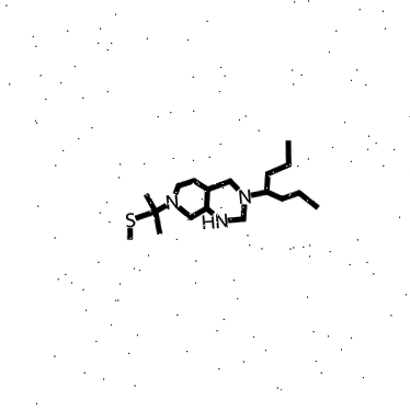 CCCC(CCC)N1CNC2CN(C(C)(C)SC)CCC2C1